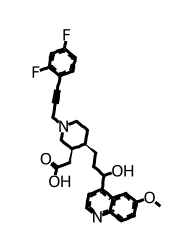 COc1ccc2nccc(C(O)CC[C@@H]3CCN(CC#Cc4ccc(F)cc4F)C[C@@H]3CC(=O)O)c2c1